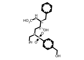 CC(C)CN(C[C@@H](O)[C@H](Cc1ccccc1)NC(=O)O)S(=O)(=O)c1ccc(CO)cc1